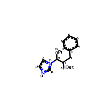 CCCCCCCCCCC(Cc1ccccc1)C(CCC)n1ccnc1